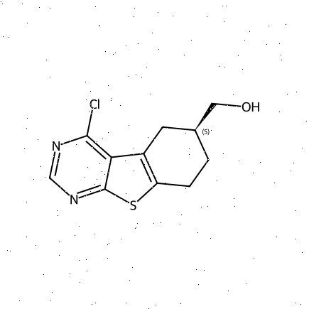 OC[C@H]1CCc2sc3ncnc(Cl)c3c2C1